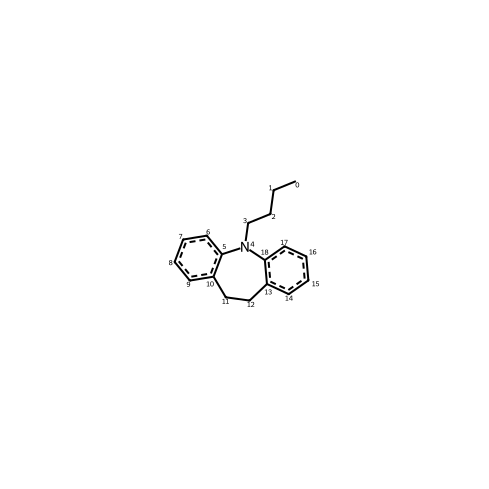 CCCCN1c2ccccc2CCc2ccccc21